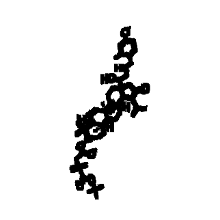 Cc1cc(Cl)ccc1CNCC(O)C12CC[C@]3(C)[C@H](CC[C@@H]4[C@@]5(C)CC[C@H](OC(=O)CC(C)(C)C(=O)OC(C)(C)C)C(C)(C)[C@@H]5CC[C@]43C)C1=C(C(C)C)C(=O)C2